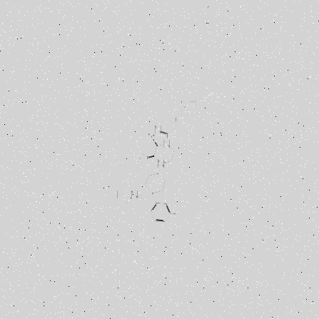 COCCc1nnc2n1CCN([C@H]1CC[C@](CN)(c3cccc(Cl)c3)CC1)C2=O